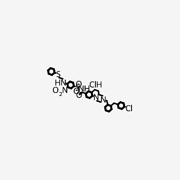 Cl.O=C(NS(=O)(=O)c1ccc(NCCSc2ccccc2)c([N+](=O)[O-])c1)c1ccc2c(c1)CCC1CN(Cc3ccccc3Cc3ccc(Cl)cc3)CCN21